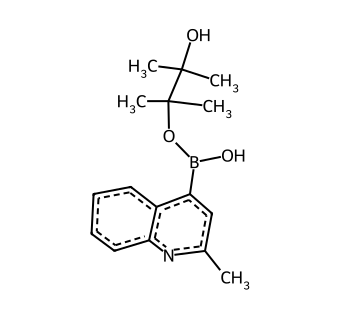 Cc1cc(B(O)OC(C)(C)C(C)(C)O)c2ccccc2n1